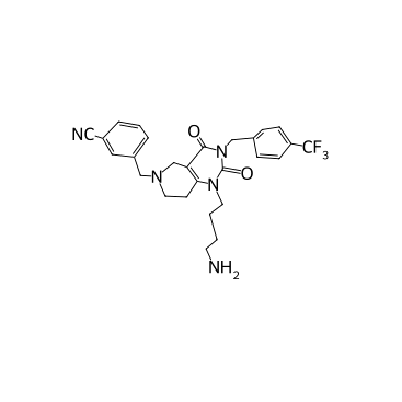 N#Cc1cccc(CN2CCc3c(c(=O)n(Cc4ccc(C(F)(F)F)cc4)c(=O)n3CCCCN)C2)c1